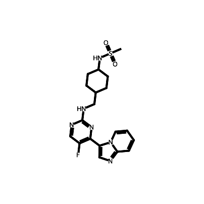 CS(=O)(=O)NC1CCC(CNc2ncc(F)c(-c3cnc4ccccn34)n2)CC1